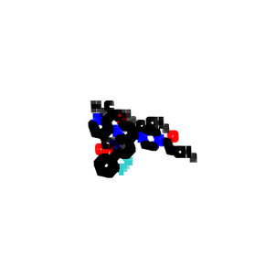 C=CC(=O)N1CCN(c2cc(=O)n(-c3c(C)ccnc3C(C)C)c3nc(-c4c(O)cccc4F)c(F)cc23)C(C)(C)C1